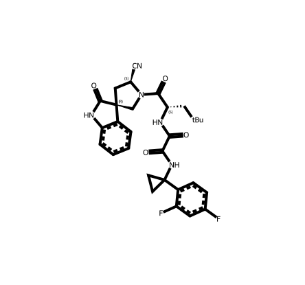 CC(C)(C)C[C@H](NC(=O)C(=O)NC1(c2ccc(F)cc2F)CC1)C(=O)N1C[C@]2(C[C@H]1C#N)C(=O)Nc1ccccc12